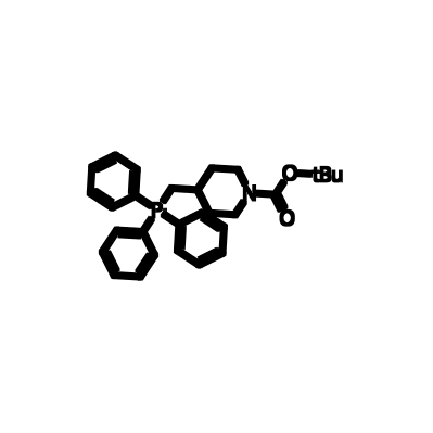 CC(C)(C)OC(=O)N1CCC(C[P](c2ccccc2)(c2ccccc2)c2ccccc2)CC1